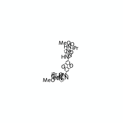 COC(=O)NC(C(=O)N1CCC[C@H]1c1ncc(-c2cc3c4c(c2)OCc2cc(-c5cnc([C@@H]6CCCN6C(=O)[C@@H](NC(=O)OC)C(C)C)[nH]5)cc(c2-4)OC3)[nH]1)C(C)C